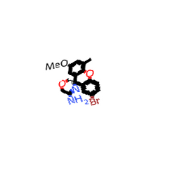 COc1cc(C)c2c(c1)[C@@]1(COCC(N)=N1)c1cc(Br)ccc1O2